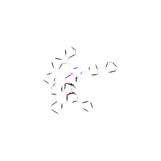 c1ccc(-c2ccc(C3=NC(c4ccccc4)NC(n4c5ccccc5c5ccc6c7ccccc7n(-c7cccc(-c8cc(-c9ccccc9)cc(-c9ccccc9)c8)c7-c7ccccc7)c6c54)=N3)cc2)cc1